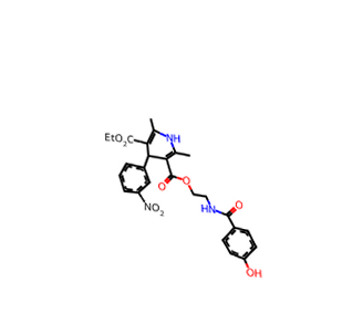 CCOC(=O)C1=C(C)NC(C)=C(C(=O)OCCNC(=O)c2ccc(O)cc2)C1c1cccc([N+](=O)[O-])c1